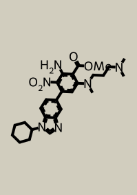 COC(=O)c1c(N(C)CCCN(C)C)cc(-c2ccc3c(c2)ncn3C2CCCCC2)c([N+](=O)[O-])c1N